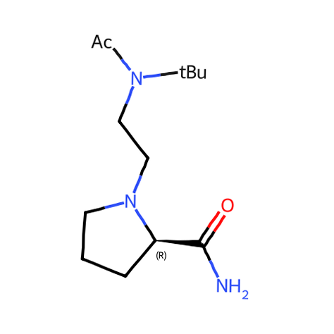 CC(=O)N(CCN1CCC[C@@H]1C(N)=O)C(C)(C)C